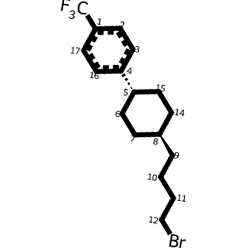 FC(F)(F)c1ccc([C@H]2CC[C@H](CCCCBr)CC2)cc1